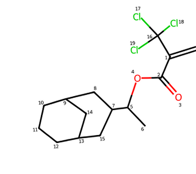 C=C(C(=O)OC(C)C1CC2CCCC(C2)C1)C(Cl)(Cl)Cl